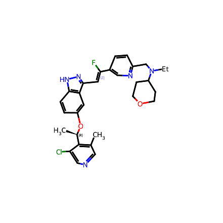 CCN(Cc1ccc(/C(F)=C/c2n[nH]c3ccc(O[C@H](C)c4c(C)cncc4Cl)cc23)cn1)C1CCOCC1